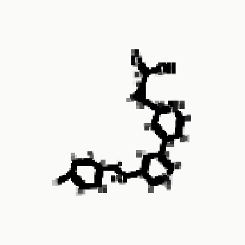 Cc1ccc(COc2cncc(-c3ccnc(C4CC4C(=O)O)c3)c2)cc1